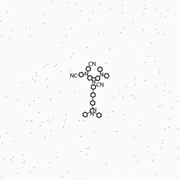 N#Cc1ccc(N(c2ccc(C#N)cc2)c2ccc3c(c2)c2cc(N(c4ccccc4)c4ccccc4)ccc2n3-c2ccc(-c3ccc(-c4ccc(-c5cc(-c6ccccc6)nc(-c6ccccc6)n5)cc4)cc3)cc2C#N)cc1